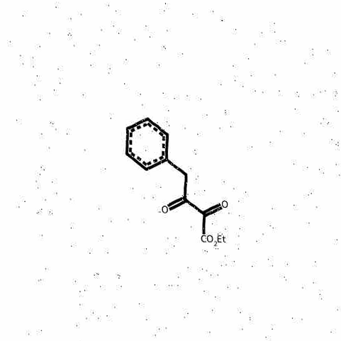 CCOC(=O)C(=O)C(=O)Cc1ccccc1